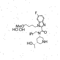 COCCCCn1c(C(=O)N(CC(C)C)[C@@H]2CNC[C@H](C(C)O)C2)nc2ccc(F)cc21.Cl.Cl